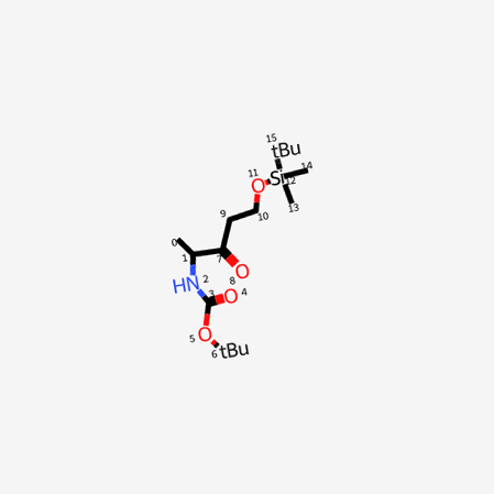 CC(NC(=O)OC(C)(C)C)C(=O)CCO[Si](C)(C)C(C)(C)C